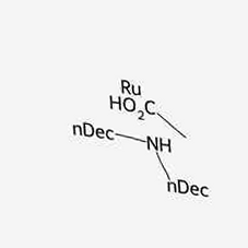 CC(=O)O.CCCCCCCCCCNCCCCCCCCCC.[Ru]